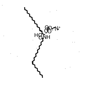 CCCCCCCC/C=C\CCCCCCCCCCCC(=O)N[C@@H](COP(=O)([O-])OCC[N+](C)(C)C)[C@H](O)/C=C/CCCCCCCCCCCCC